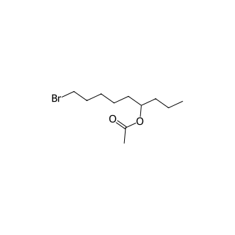 CCCC(CCCCCBr)OC(C)=O